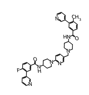 Cc1ccc(C(=O)NC2CCN(Cc3ccc(N4CCC(NC(=O)c5ccc(F)c(-c6cccnc6)c5)CC4)nc3)CC2)cc1-c1cccnc1